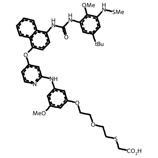 COc1cc(Nc2cc(Oc3ccc(NC(=O)Nc4cc(C(C)(C)C)cc(NSC)c4OC)c4ccccc34)ccn2)cc(OCCOCCSCC(=O)O)c1